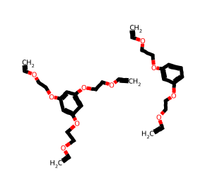 C=COCCOc1cc(OCCOC=C)cc(OCCOC=C)c1.C=COCCOc1cccc(OCCOC=C)c1